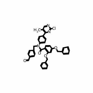 Cc1cnc(Cl)nc1-c1ccc(N(Cc2ccc(C=O)cc2)C(=O)c2ccc(OCc3ccccc3)cc2OCc2ccccc2)cc1